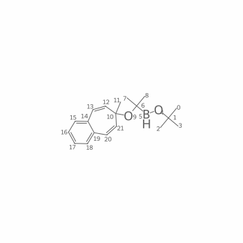 CC(C)(C)OBC(C)(C)OC1(C)C=Cc2ccccc2C=C1